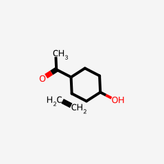 C=C.CC(=O)C1CCC(O)CC1